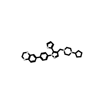 c1coc(-c2c(CN3CCN(C4CCCC4)CC3)cnn2-c2ccc(-c3ccc4c(c3)OCCO4)cc2)c1